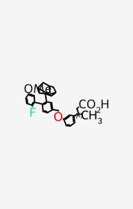 COc1ccc(F)c(-c2ccc(COc3cccc([C@H](C)CC(=O)O)c3)cc2C23CC4CC(CC(C4)C2)C3)c1